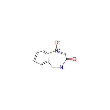 O=c1c[n+]([O-])c2ccccc2cn1